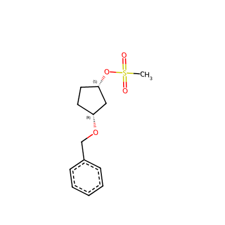 CS(=O)(=O)O[C@H]1CC[C@@H](OCc2ccccc2)C1